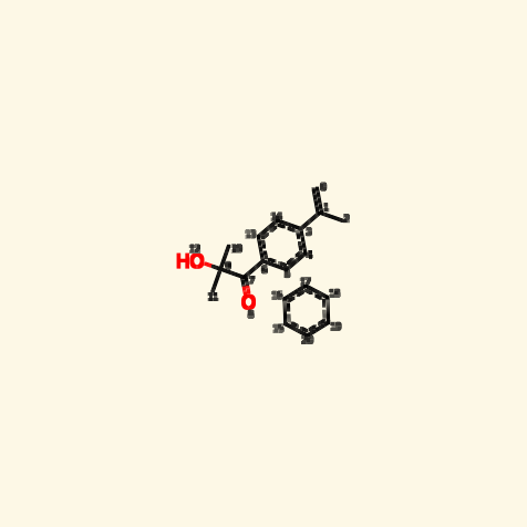 C=C(C)c1ccc(C(=O)C(C)(C)O)cc1.c1ccccc1